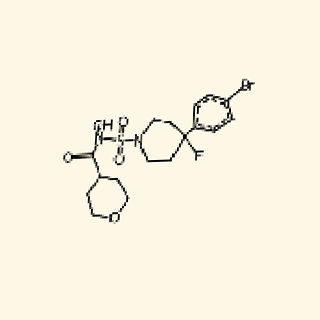 O=C(C1CCOCC1)N(O)S(=O)(=O)N1CCC(F)(c2ccc(Br)cc2)CC1